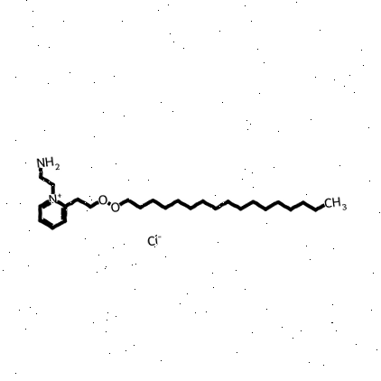 CCCCCCCCCCCCCCCCCOOCCc1cccc[n+]1CCN.[Cl-]